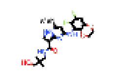 CNc1cc(Nc2c(F)c(F)cc3c2OCCO3)nc2c(C(=O)NCC(C)(C)CO)cnn12